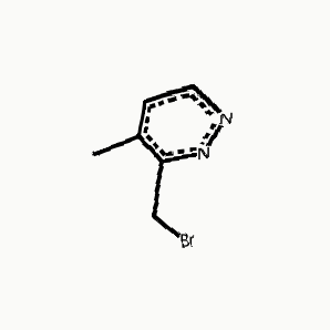 Cc1ccnnc1CBr